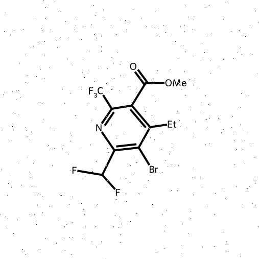 CCc1c(Br)c(C(F)F)nc(C(F)(F)F)c1C(=O)OC